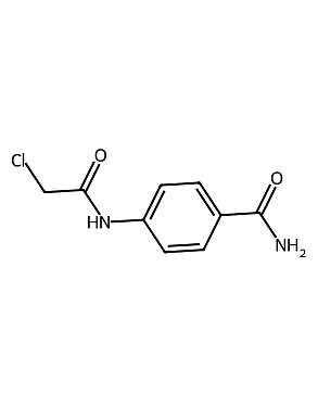 NC(=O)c1ccc(NC(=O)CCl)cc1